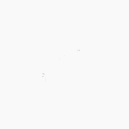 C#CCSOSCC#C